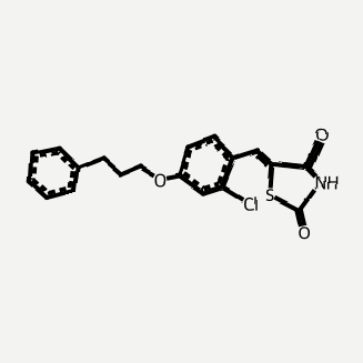 O=C1NC(=O)C(=Cc2ccc(OCCCc3ccccc3)cc2Cl)S1